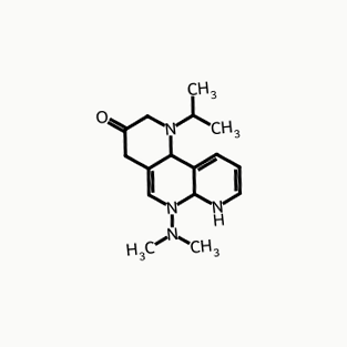 CC(C)N1CC(=O)CC2=CN(N(C)C)C3NC=CC=C3C21